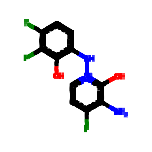 Nc1c(F)cc[n+](Nc2ccc(F)c(F)c2O)c1O